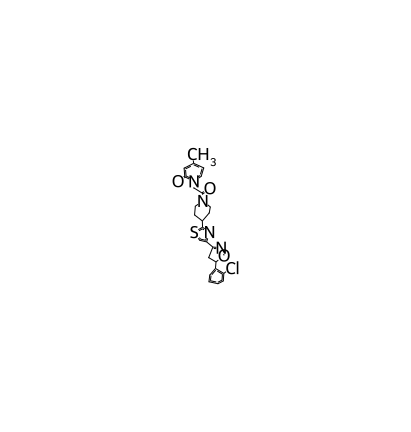 Cc1ccn(CC(=O)N2CCC(c3nc(C4=NOC(c5ccccc5Cl)C4)cs3)CC2)c(=O)c1